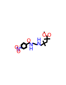 COC(=O)C(C)(C)CC(C)(C)CNCCNC(=O)c1ccc([N+](=O)[O-])cc1